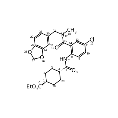 CCOC(=O)[C@H]1CC[C@H](C(=O)Nc2ccc(Cl)cc2C(=O)N(C)Cc2ccc3c(c2)OCO3)CC1